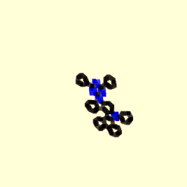 c1ccc(-c2nc(-c3ccccc3)nc(-n3c4ccccc4c4c5c6c7ccccc7c7ccccc7c6n(-c6ccccc6)c5ccc43)n2)cc1